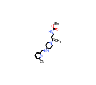 C[C@H](CCNC(=O)OC(C)(C)C)N1CCC(NCc2cccc(C#N)n2)CC1